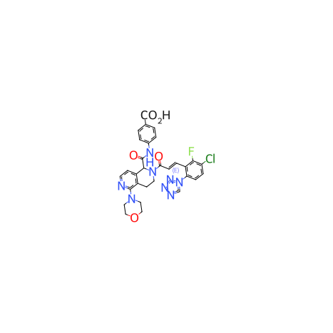 O=C(O)c1ccc(NC(=O)C2c3ccnc(N4CCOCC4)c3CCN2C(=O)/C=C/c2c(-n3cnnn3)ccc(Cl)c2F)cc1